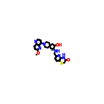 COc1ccc2nccc(N3CCC4(CC3)C[C@@H](O)[C@@H](NCc3ccc5c(n3)NC(=O)CS5)C4)c2n1